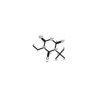 CCn1c(=O)oc(=O)n(C(C)(C)C)c1=O